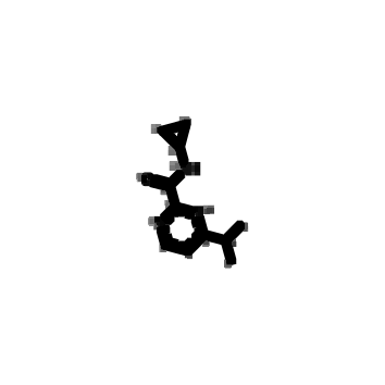 CC(C)c1ccnc(C(=O)NC2CC2)n1